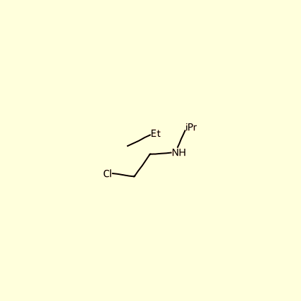 CC(C)NCCCl.CCC